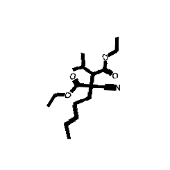 CCCCCC(C#N)(C(=O)OCC)C(C(=O)OCC)C(C)C